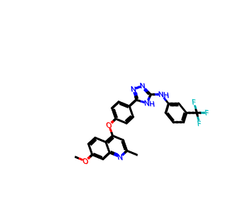 COc1ccc2c(Oc3ccc(-c4nnc(Nc5cccc(C(F)(F)F)c5)[nH]4)cc3)cc(C)nc2c1